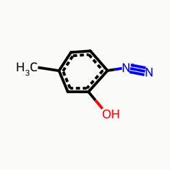 Cc1ccc([N+]#N)c(O)c1